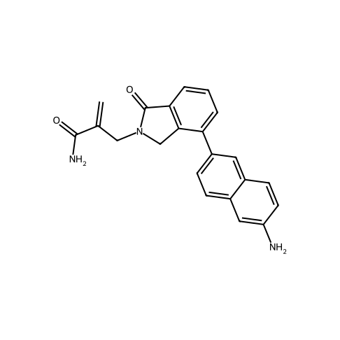 C=C(CN1Cc2c(cccc2-c2ccc3cc(N)ccc3c2)C1=O)C(N)=O